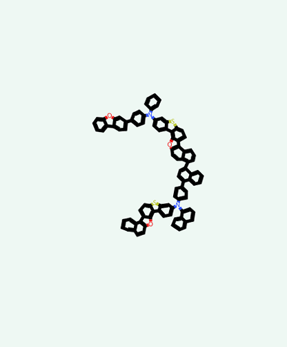 c1ccc(N(c2ccc(-c3ccc4c(c3)oc3ccccc34)cc2)c2ccc3c(c2)sc2ccc4c(oc5ccc6c(-c7ccc(-c8ccc(N(c9ccc%10c(c9)sc9ccc%11c(oc%12ccc%13ccccc%13c%12%11)c9%10)c9cccc%10ccccc9%10)cc8)c8ccccc78)cccc6c54)c23)cc1